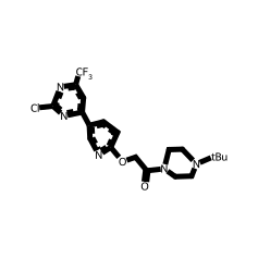 CC(C)(C)N1CCN(C(=O)COc2ccc(-c3cc(C(F)(F)F)nc(Cl)n3)cn2)CC1